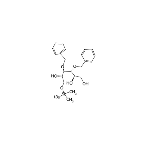 CC(C)(C)[Si](C)(C)OC[C@@H](O)[C@@H](OCc1ccccc1)[C@H](OCc1ccccc1)[C@H](O)CO